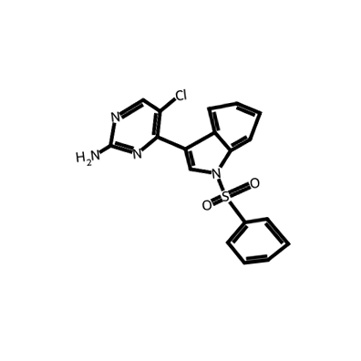 Nc1ncc(Cl)c(-c2cn(S(=O)(=O)c3ccccc3)c3ccccc23)n1